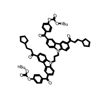 CCCCOC(=O)Oc1ccc(C(=O)c2ccc3c(c2)c2cc(C(=O)CCC4CCCC4)ccc2n3CCCn2c3ccc(C(=O)CCC4CCCC4)cc3c3cc(C(=O)c4ccc(OC(=O)OCCCC)cc4)ccc32)cc1